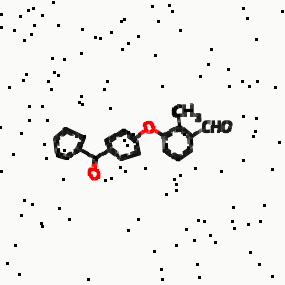 Cc1c(C=O)cccc1Oc1ccc(C(=O)c2ccccc2)cc1